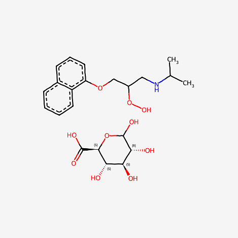 CC(C)NCC(COc1cccc2ccccc12)OO.O=C(O)[C@H]1OC(O)[C@H](O)[C@@H](O)[C@@H]1O